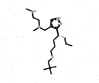 CCC[C@H](CCCOCC(C)(C)C)c1n[nH]cc1CN(C)CCNC